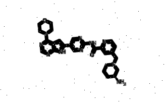 N[C@@H]1CCCN(Cc2ccnc(C(=O)Nc3ncc(-c4cc5c(N6CCOCC6)ncnc5[nH]4)cn3)c2)C1